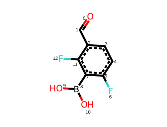 O=Cc1ccc(F)c(B(O)O)c1F